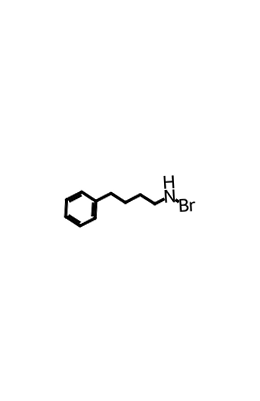 BrNCCCCc1ccccc1